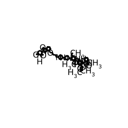 CCc1cc(Nc2ncc(C(=O)OC(C)C)c(Nc3ccccc3P(C)(C)=O)n2)c(OC)cc1N1CCC(N2CCN(CCCCOc3cccc4c3CN(C3CCC(=O)NC3=O)C4=O)CC2)CC1